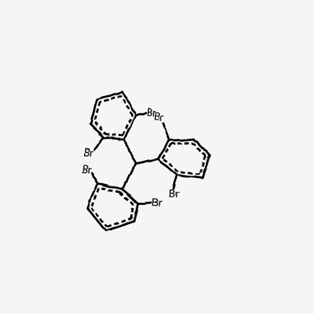 Brc1cccc(Br)c1[C](c1c(Br)cccc1Br)c1c(Br)cccc1Br